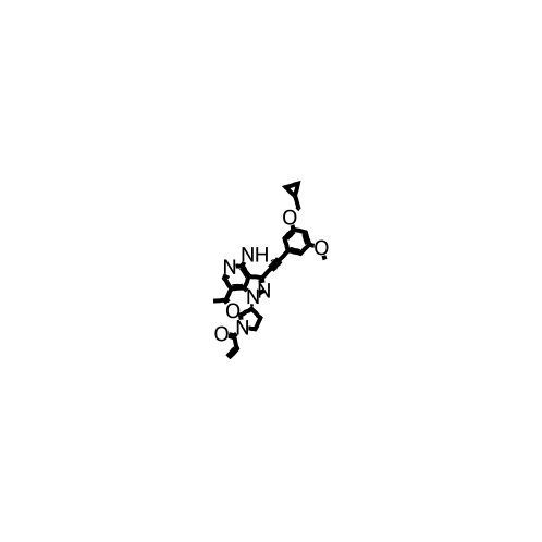 C=CC(=O)N1CC[C@H](n2nc(C#Cc3cc(OC)cc(OCC4CC4)c3)c3c(N)ncc(C(C)=O)c32)C1